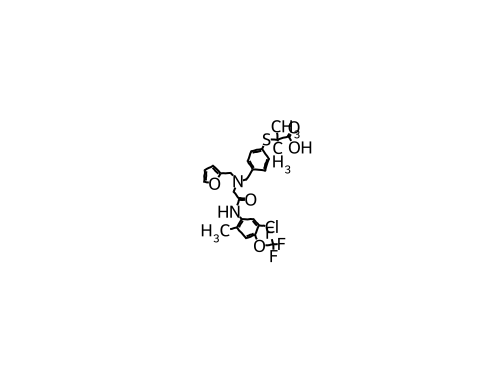 Cc1cc(OC(F)(F)F)c(Cl)cc1NC(=O)CN(Cc1ccc(SC(C)(C)C(=O)O)cc1)Cc1ccco1